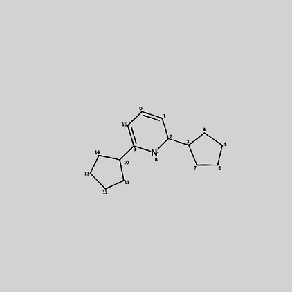 C1=CC(C2CCCC2)[N]C(C2CCCC2)=C1